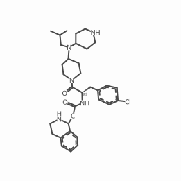 CC(C)CN(C1CCNCC1)C1CCN(C(=O)[C@@H](Cc2ccc(Cl)cc2)NC(=O)CC2NCCc3ccccc32)CC1